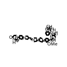 COc1cc(N2CCC(N3CCN(CCC4CCN(c5ccc(N6CCC(=O)NC6=O)c(F)c5)CC4)CC3)CC2)ccc1Nc1ncc(Cl)c(Nc2ccccc2N(C)S(C)(=O)=O)n1